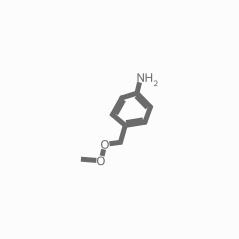 COOCc1ccc(N)cc1